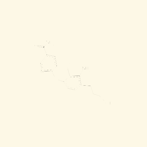 CCCCc1ccc(Oc2ccc(C(N)=O)cn2)c(OC)c1N